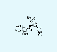 COc1cc(C(=O)Oc2cc(C(=O)CNC(C)(C)C)ccc2OC(=O)C(C)(C)C)cc(OC)c1OC